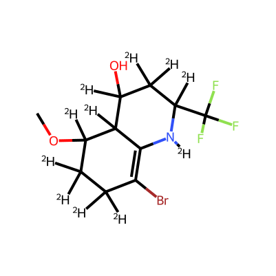 [2H]N1C2=C(Br)C([2H])([2H])C([2H])([2H])C([2H])(OC)C2([2H])C([2H])(O)C([2H])([2H])C1([2H])C(F)(F)F